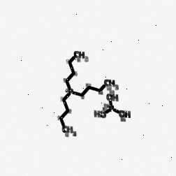 CCCCP(CCCC)CCCC.OP(O)O